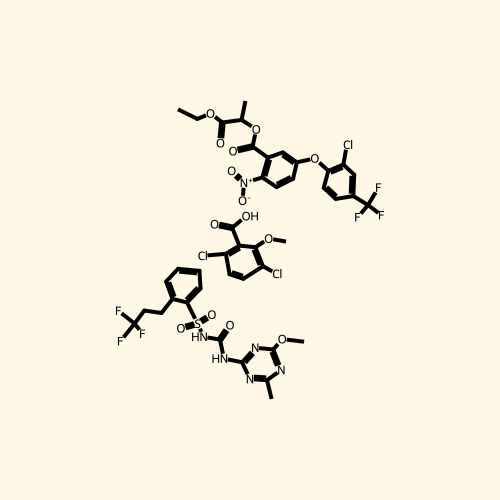 CCOC(=O)C(C)OC(=O)c1cc(Oc2ccc(C(F)(F)F)cc2Cl)ccc1[N+](=O)[O-].COc1c(Cl)ccc(Cl)c1C(=O)O.COc1nc(C)nc(NC(=O)NS(=O)(=O)c2ccccc2CCC(F)(F)F)n1